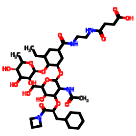 CCC1CC(C(=O)NCCNC(=O)CCC(=O)O)C[C@@H](O[C@@H]2OC(CO)[C@H](O)C(O[C@@H](CC3CCCCC3)C(=O)N3CCC3)C2NC(C)=O)C1O[C@@H]1OC(C)[C@@H](O)C(O)C1O